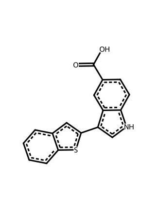 O=C(O)c1ccc2[nH]cc(-c3cc4ccccc4s3)c2c1